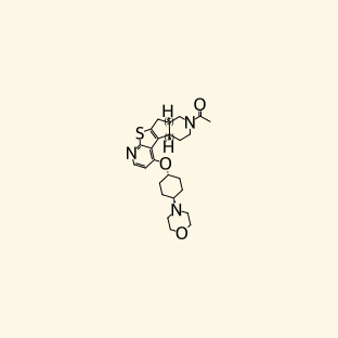 CC(=O)N1CC[C@@H]2c3c(sc4nccc(O[C@H]5CC[C@H](N6CCOCC6)CC5)c34)C[C@@H]2C1